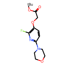 CC(C)(C)OC(=O)COc1ccc(N2CCOCC2)nc1F